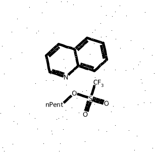 CCCCCOS(=O)(=O)C(F)(F)F.c1ccc2ncccc2c1